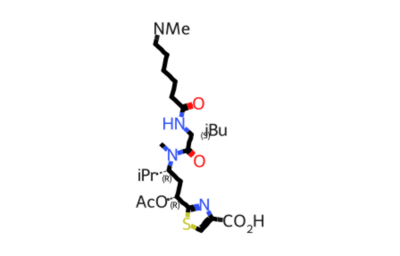 CC[C@H](C)C(NC(=O)CCCCCNC)C(=O)N(C)[C@H](C[C@@H](OC(C)=O)c1nc(C(=O)O)cs1)C(C)C